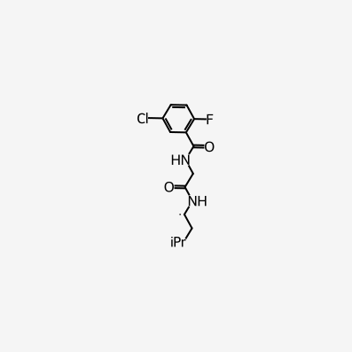 CC(C)C[CH]NC(=O)CNC(=O)c1cc(Cl)ccc1F